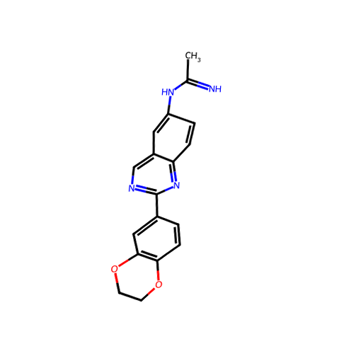 CC(=N)Nc1ccc2nc(-c3ccc4c(c3)OCCO4)ncc2c1